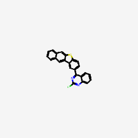 Clc1nc(-c2ccc3sc4cc5ccccc5cc4c3c2)c2ccccc2n1